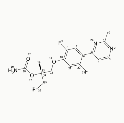 Cc1nccc(-c2cc(F)c(OC[C@](C)(CC(C)C)OC(N)=O)cc2F)n1